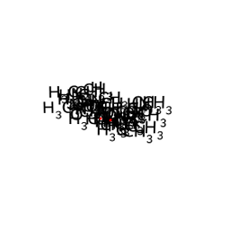 CC[C@H](N)C(=O)N(C)C(OCCN(C)C)C(=O)N(C)[C@@H](CC(C)C)C(=O)N[C@H](C(=O)N(C)[C@@H](CC(C)C)C(=O)N[C@@H](C)C(=O)N[C@H](C)C(=O)N(C)[C@@H](CCC(C)C)C(=O)N(C)[C@@H](CC(C)C)C(=O)N(C)[C@H](C(=O)NC)C(C)C)C(C)C